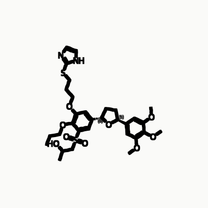 CCCOc1c(OCCCSc2ncc[nH]2)cc([C@@H]2CC[C@@H](c3cc(OC)c(OC)c(OC)c3)O2)cc1S(=O)(=O)CC(C)O